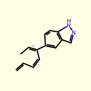 C=C/C=C\C(=C/C)c1ccc2[nH]ncc2c1